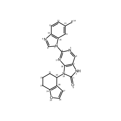 O=c1[nH]c2cnc(-n3cnc4ccc(F)cc43)nc2n1C1CCCc2occc21